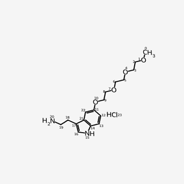 COCCOCCOCCOc1ccc2[nH]cc(CCN)c2c1.Cl